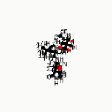 [2H]C([2H])([2H])C1(C([2H])([2H])[2H])[C@H]2[C@@H]1CN(C(=O)[C@@]([2H])(NC(=O)C(F)(F)F)C(C([2H])([2H])[2H])(C([2H])([2H])[2H])C([2H])([2H])[2H])[C@]2([2H])C(=O)N[C@]([2H])(C#N)C([2H])([2H])[C@@]1([2H])C(=O)NC([2H])([2H])C1([2H])[2H]